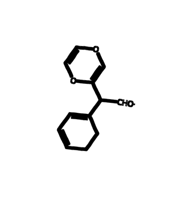 O=[C]C(C1=CC=CCC1)C1=COC=CO1